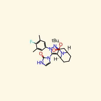 Cc1cc(-n2nc3c(c2-n2cc[nH]c2=O)[C@@H]2CCC[C@H](C3)N2C(=O)OC(C)(C)C)cc(C)c1F